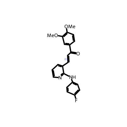 COc1ccc(C(=O)/C=C/c2cccnc2Nc2ccc(F)cc2)cc1OC